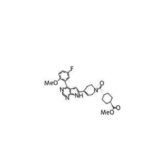 COc1ccc(F)cc1-c1ncnc2[nH]c(C3=CCN(C(=O)[C@H]4CC[C@H](C(=O)OC)CC4)CC3)cc12